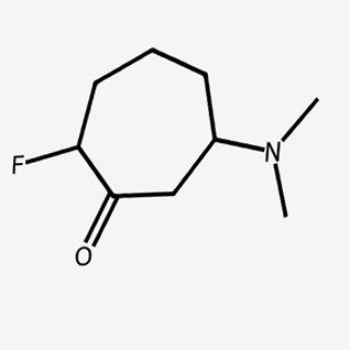 CN(C)C1CCCC(F)C(=O)C1